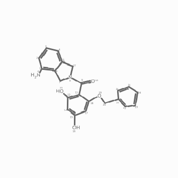 Nc1cccc2c1CN(C(=O)c1c(O)cc(O)cc1OCc1ccccc1)C2